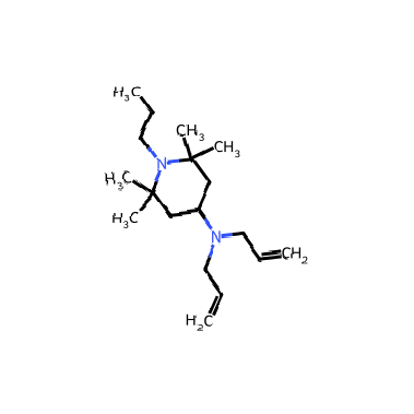 C=CCN(CC=C)C1CC(C)(C)N(CCC)C(C)(C)C1